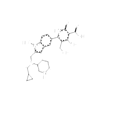 CCc1c(-c2ccc3c(c2)cc(CN(CC2CC2)C2CCCNC2)n3C)[nH]c(=O)c(C(=O)O)c1O